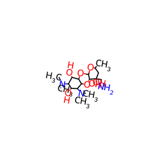 CC1CC(O)(CN)C2(O)OC3C(OC2O1)C(O)C(N(C)C)C(O)C3N(C)C